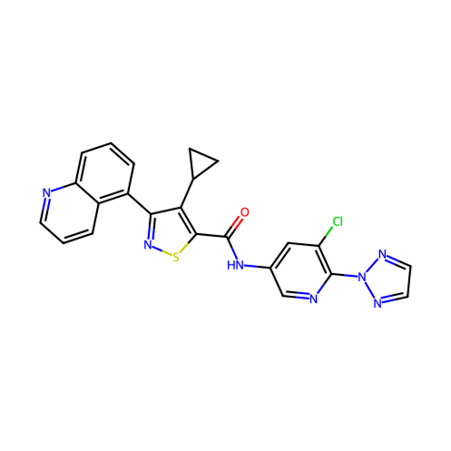 O=C(Nc1cnc(-n2nccn2)c(Cl)c1)c1snc(-c2cccc3ncccc23)c1C1CC1